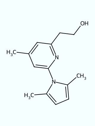 Cc1cc(CCO)nc(-n2c(C)ccc2C)c1